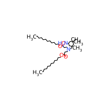 CCCCCCCCCCCCOC(=O)CCN(CCC(=O)OCCCCCCCCCCCC)CC1(C)CC(N)CC(C)(C)C1